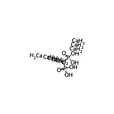 O=P(O)(O)OP(=O)(O)O.[CaH2].[CaH2].[CaH2].[CaH2].[CaH2].[CaH2].[CaH2].[CaH2]